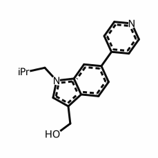 CC(C)Cn1cc(CO)c2ccc(-c3ccncc3)cc21